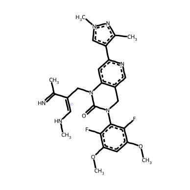 CN/C=C(/CN1C(=O)N(c2c(F)c(OC)cc(OC)c2F)Cc2cnc(-c3cn(C)nc3C)cc21)C(C)=N